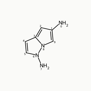 Nc1cc2ccn(N)n2c1